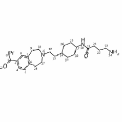 CC(C)C(=O)c1ccc2c(c1)CCN(CCC1CCC(NC(=O)CCCN)CC1)CC2